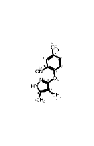 Cc1[nH]nc(Oc2ccc(C(F)(F)F)cc2N=O)c1C